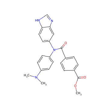 COC(=O)c1ccc(C(=O)N(c2ccc(N(C)C)cc2)c2ccc3[nH]cnc3c2)cc1